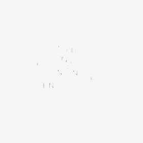 CS(=O)(=O)c1ccccc1N1C(=O)N(Cc2ccccc2)CC2=C1NCC=C2